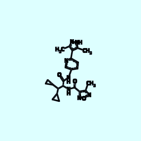 Cc1nonc1C(=O)NC(C(=O)Nc1ccc(-c2c(C)n[nH]c2C)nc1)C(C1CC1)C1CC1